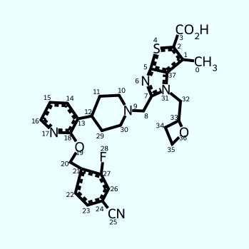 Cc1c(C(=O)O)sc2nc(CN3CCC(c4cccnc4OCc4ccc(C#N)cc4F)CC3)n(CC3CCO3)c12